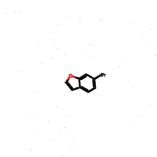 CC(C)c1ccc2c[c]oc2c1